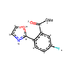 COC(=O)c1cc(F)ccc1-c1ncco1